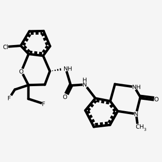 CN1C(=O)NCc2c(NC(=O)N[C@@H]3CC(CF)(CF)Oc4c(Cl)cccc43)cccc21